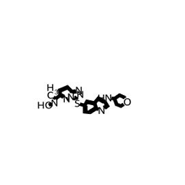 CC(=NO)c1ccc2nnc(Sc3ccc4ncc(NC5CCOCC5)cc4c3)n2n1